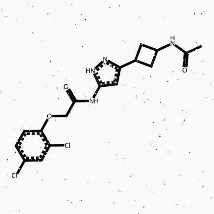 CC(=O)NC1CC(c2cc(NC(=O)COc3ccc(Cl)cc3Cl)[nH]n2)C1